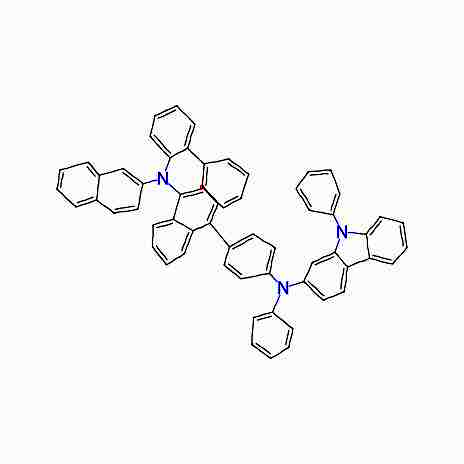 c1ccc(-c2ccccc2N(c2ccc3ccccc3c2)c2ccc(-c3ccc(N(c4ccccc4)c4ccc5c6ccccc6n(-c6ccccc6)c5c4)cc3)c3ccccc23)cc1